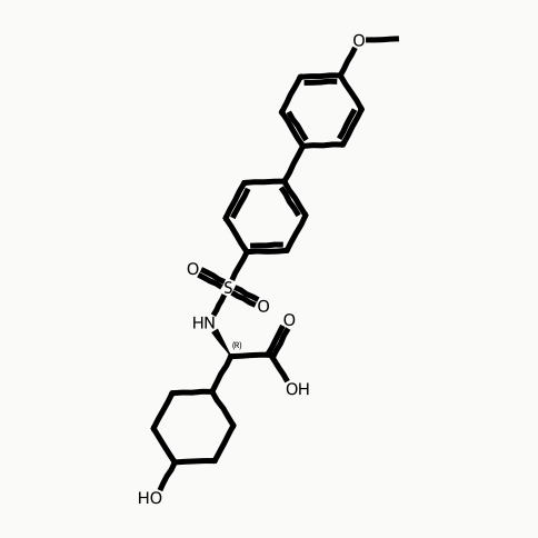 COc1ccc(-c2ccc(S(=O)(=O)N[C@@H](C(=O)O)C3CCC(O)CC3)cc2)cc1